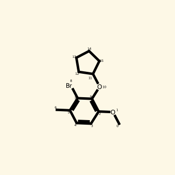 COc1ccc(C)c(Br)c1OC1CCCC1